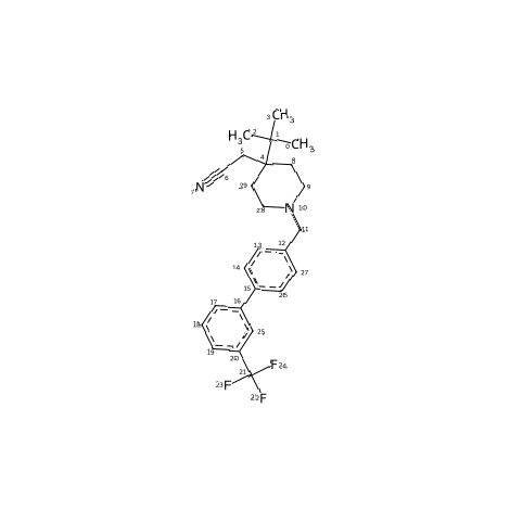 CC(C)(C)C1(CC#N)CCN(Cc2ccc(-c3cccc(C(F)(F)F)c3)cc2)CC1